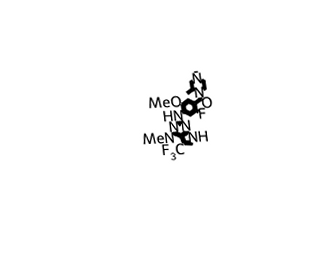 CNc1nc(Nc2cc(F)c(C(=O)N3CCN(C)CC3C)cc2OC)nc2[nH]cc(C(F)(F)F)c12